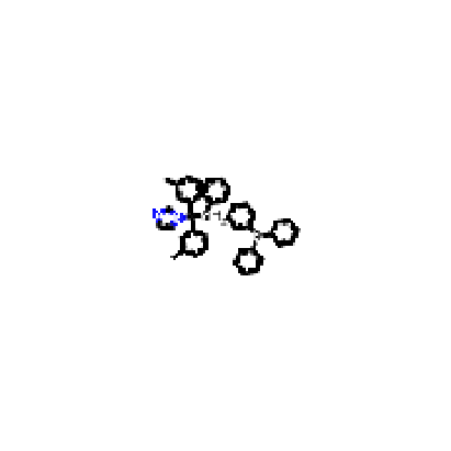 Cc1cccc(C([SiH2]c2ccccc2)(c2cccc(C)c2)n2ccnc2)c1.c1ccc(B(c2ccccc2)c2ccccc2)cc1